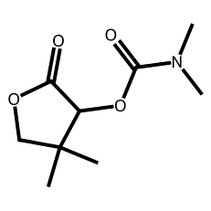 CN(C)C(=O)OC1C(=O)OCC1(C)C